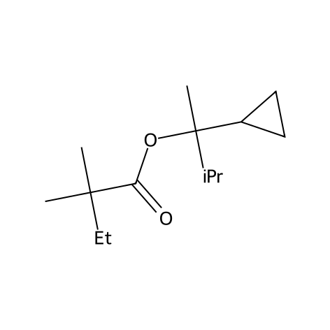 CCC(C)(C)C(=O)OC(C)(C(C)C)C1CC1